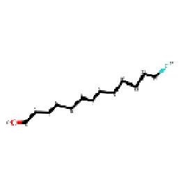 [O]CCCCCCCCCCCCCF